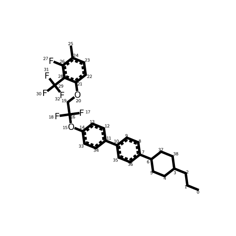 CCCC1CCC(c2ccc(-c3ccc(OC(F)(F)COc4ccc(C)c(F)c4C(F)(F)F)cc3)cc2)CC1